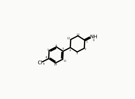 N=C1CCC(c2ccc(Cl)cc2)CC1